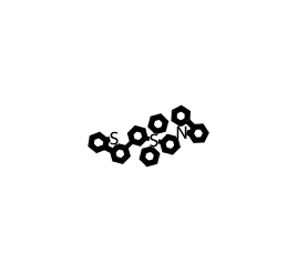 c1ccc(S(c2ccccc2)(c2cccc(-c3cccc4c3sc3ccccc34)c2)c2cccc(-n3c4ccccc4c4ccccc43)c2)cc1